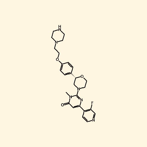 Cn1c(N2CCO[C@@H](c3ccc(OCCN4CCNCC4)cc3)C2)nc(-c2ccncc2F)cc1=O